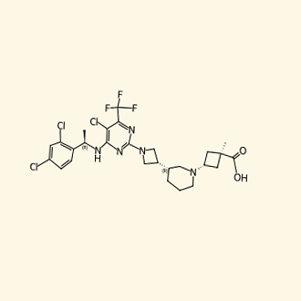 C[C@@H](Nc1nc(N2CC([C@H]3CCCN([C@H]4C[C@](C)(C(=O)O)C4)C3)C2)nc(C(F)(F)F)c1Cl)c1ccc(Cl)cc1Cl